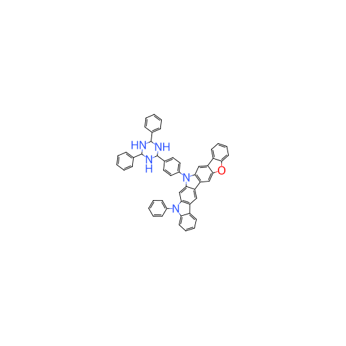 c1ccc(C2NC(c3ccccc3)NC(c3ccc(-n4c5cc6c(cc5c5cc7c8ccccc8n(-c8ccccc8)c7cc54)oc4ccccc46)cc3)N2)cc1